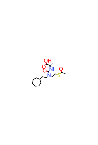 CC(=O)SCCN(CCC1CCCCCC1)C(=O)N[C@@H](C)C(=O)O